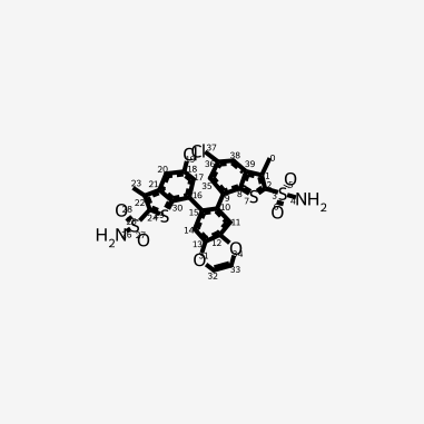 Cc1c(S(N)(=O)=O)sc2c(-c3cc4c(cc3-c3cc(Cl)cc5c(C)c(S(N)(=O)=O)sc35)OC=CO4)cc(Cl)cc12